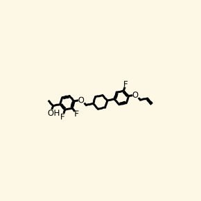 C=CCOc1ccc(C2CCC(COc3ccc(C(C)O)c(F)c3F)CC2)cc1F